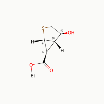 CCOC(=O)[C@H]1[C@@H]2SC[C@@H](O)[C@@H]21